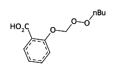 CCCCOOCOc1ccccc1C(=O)O